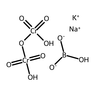 [K+].[Na+].[O-]B([O-])O.[O]=[Cr](=[O])([OH])[O][Cr](=[O])(=[O])[OH]